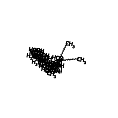 CCCCCCCCCCCCC/C=C/[C@@H](O)[C@H](CO[C@@H]1OC(CO)[C@@H](O[C@@H]2OC(CO)[C@H](O)[C@H](O[C@@H]3OC(CO)[C@@H](O[C@@H]4OC(CO)[C@H](O)[C@H](O[C@@H]5OC(CO)[C@@H](O[C@@H]6OC(CO)[C@H](O)[C@H](O[C@]7(C(=O)O)CC(O)[C@@H](NC(C)=O)C([C@H](O)[C@H](O)CO)O7)C6O)[C@H](O)C5NC(C)=O)C4O)[C@H](O)C3NC(C)=O)C2O)[C@H](O)C1O)NC(=O)CCCCCCCCCCCCCCC